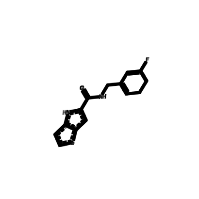 O=C(NCC1=CCCC(F)=C1)c1cc2sccc2[nH]1